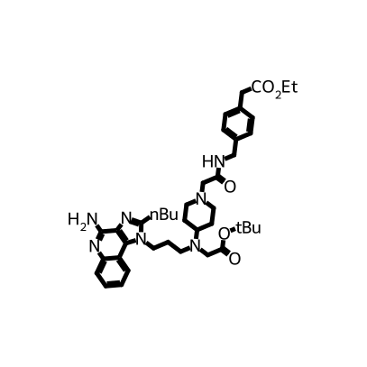 CCCCc1nc2c(N)nc3ccccc3c2n1CCCN(CC(=O)OC(C)(C)C)C1CCN(CC(=O)NCc2ccc(CC(=O)OCC)cc2)CC1